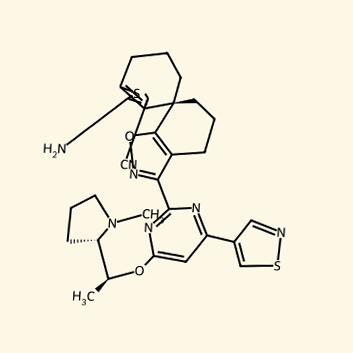 C[C@H](Oc1cc(-c2cnsc2)nc(-c2noc3c2CCC[C@@]32CCCc3sc(N)c(C#N)c32)n1)[C@@H]1CCCN1C